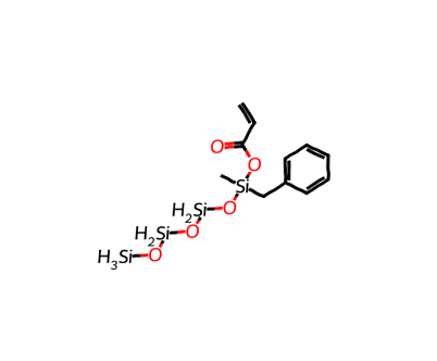 C=CC(=O)O[Si](C)(Cc1ccccc1)O[SiH2]O[SiH2]O[SiH3]